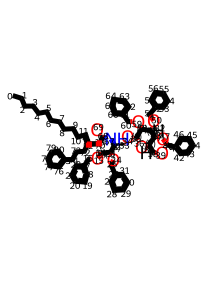 CCCCCCCCCCCC=CC[C@@H](OCc1ccccc1)[C@@H](OCc1ccccc1)[C@H](CO[C@H]1O[C@@H]2COC(c3ccccc3)O[C@@H]2[C@H](OCc2ccccc2)[C@H]1OCc1ccccc1)NC(=O)CCCCCc1ccccc1